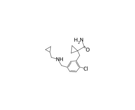 NC(=O)C1(Cc2cc(CNCC3CC3)ccc2Cl)CC1